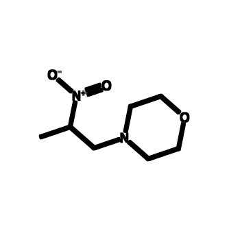 CC(CN1CCOCC1)[N+](=O)[O-]